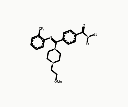 CCN(CC)C(=O)c1ccc(C(=Nc2ccccc2C(F)(F)F)N2CCN(CCOC)CC2)cc1